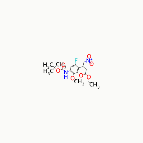 CCOC(=O)CC(C[N+](=O)[O-])c1cc(OC)c(NC(=O)OC(C)(C)C)cc1F